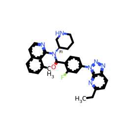 CCc1ccc2nnn(-c3ccc(C(=O)N(c4nccc5cccc(C)c45)[C@@H]4CCCNC4)c(F)c3)c2n1